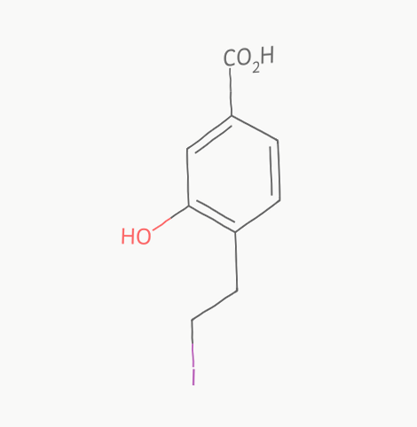 O=C(O)c1ccc(CCI)c(O)c1